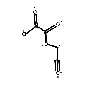 C#CCOC(=O)C(=O)Cl